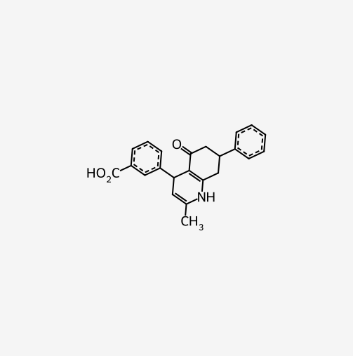 CC1=CC(c2cccc(C(=O)O)c2)C2=C(CC(c3ccccc3)CC2=O)N1